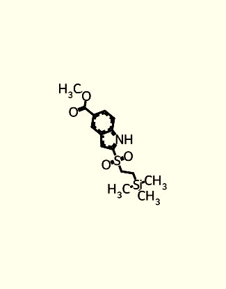 COC(=O)c1ccc2[nH]c(S(=O)(=O)CC[Si](C)(C)C)cc2c1